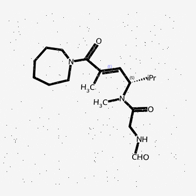 C/C(=C\[C@H](C(C)C)N(C)C(=O)CNC=O)C(=O)N1CCCCCC1